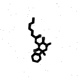 C=C/C=C\C=C\C(=O)CN1C(=O)N(C)CC(C)(C2=CCCCC2)C1=O